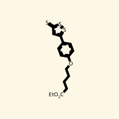 CCOC(=O)CCCCOc1ccc(-c2cc(=S)ss2)cc1